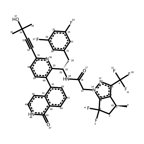 C[C@H]1CC(F)(F)c2c1c(C(F)(F)F)nn2CC(=O)N[C@@H](Cc1cc(F)cc(F)c1)c1nc(C#CC(C)(C)O)ccc1-c1cccc2c(=O)[nH]ccc12